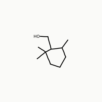 CC1CCCC(C)(C)C1CO